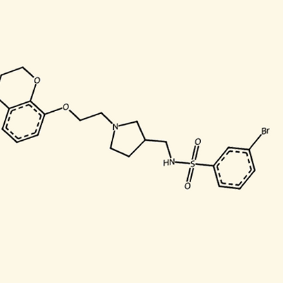 O=S(=O)(NCC1CCN(CCOc2cccc3c2OCCO3)C1)c1cccc(Br)c1